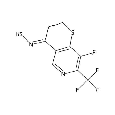 Fc1c(C(F)(F)F)ncc2c1SCC/C2=N\S